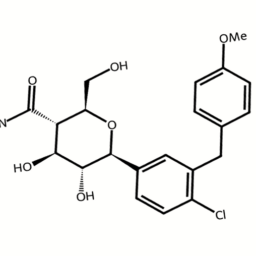 COc1ccc(Cc2cc([C@@H]3O[C@H](CO)[C@@H](C(N)=O)[C@H](O)[C@H]3O)ccc2Cl)cc1